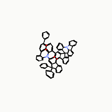 c1ccc(-c2ccc(-c3ccccc3N(c3ccc4c(c3)C(c3ccccc3)(c3ccccc3)c3ccccc3-4)c3ccccc3-c3ccc4c(c3)C3(c5ccccc5-4)c4ccccc4-n4c5ccccc5c5cccc3c54)cc2)cc1